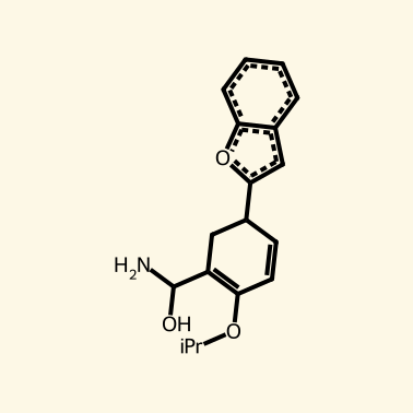 CC(C)OC1=C(C(N)O)CC(c2cc3ccccc3o2)C=C1